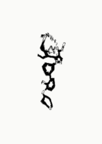 CCC(/C(N)=C/N(C)N)c1c(C(=O)N=O)cnn1-c1cccc(-c2cccc(OC3CCOCC3)c2F)c1